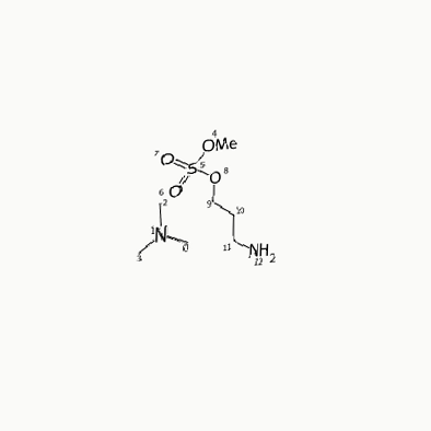 CN(C)C.COS(=O)(=O)OCCCN